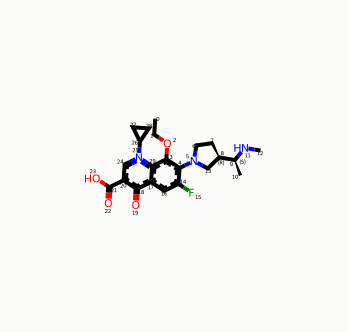 CCOc1c(N2CC[C@@H]([C@H](C)NC)C2)c(F)cc2c(=O)c(C(=O)O)cn(C3CC3)c12